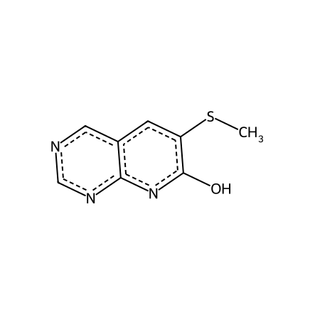 CSc1cc2cncnc2nc1O